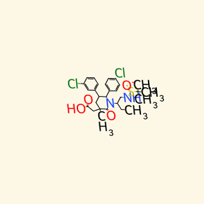 CCC(CN[S+]([O-])C(C)(C)C)N1C(=O)C(C)(CC(=O)O)CC(c2cccc(Cl)c2)C1c1ccc(Cl)cc1